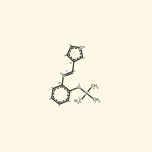 C[Si](C)(C)Oc1ccccc1/N=C/c1ccoc1